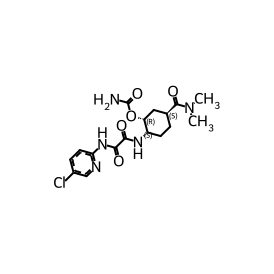 CN(C)C(=O)[C@H]1CC[C@H](NC(=O)C(=O)Nc2ccc(Cl)cn2)[C@H](OC(N)=O)C1